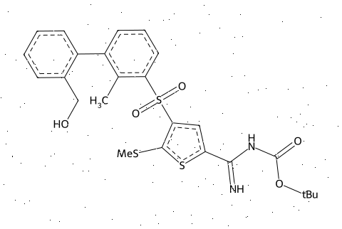 CSc1sc(C(=N)NC(=O)OC(C)(C)C)cc1S(=O)(=O)c1cccc(-c2ccccc2CO)c1C